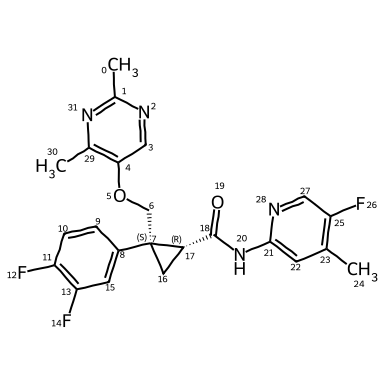 Cc1ncc(OC[C@@]2(c3ccc(F)c(F)c3)C[C@H]2C(=O)Nc2cc(C)c(F)cn2)c(C)n1